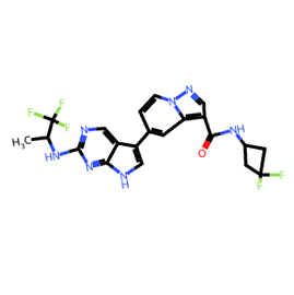 CC(Nc1ncc2c(-c3ccn4ncc(C(=O)NC5CC(F)(F)C5)c4c3)c[nH]c2n1)C(F)(F)F